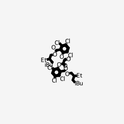 CCC(C)CC(CC)COC(=O)c1c(Cl)c(Cl)cc(Cl)c1OC(=O)C(=O)Oc1c(Cl)cc(Cl)c(Cl)c1C(=O)OCC(CC)CC(C)CC